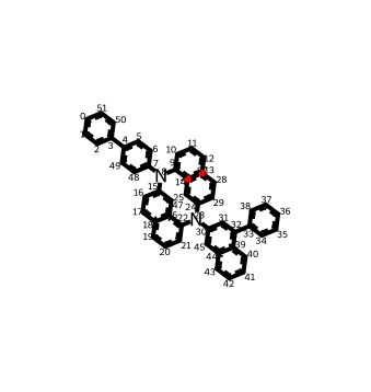 c1ccc(-c2ccc(N(c3ccccc3)c3ccc4cccc(N(c5ccccc5)c5cc(-c6ccccc6)c6ccccc6c5)c4c3)cc2)cc1